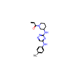 C=CC(=O)N1CCCC(Nc2nncc(Nc3ccc(C#N)cc3)n2)C1